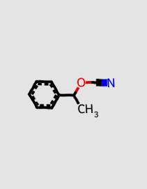 CC(OC#N)c1ccccc1